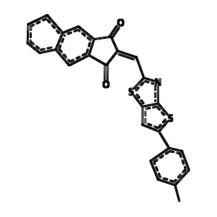 Cc1ccc(-c2cc3sc(C=C4C(=O)c5cc6ccccc6cc5C4=O)nc3s2)cc1